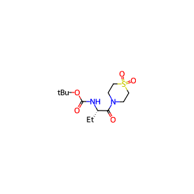 CC[C@H](NC(=O)OC(C)(C)C)C(=O)N1CCS(=O)(=O)CC1